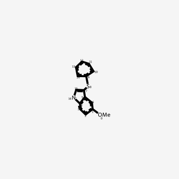 COc1ccc2c(c1)C(Sc1ccccc1)=C[N]2